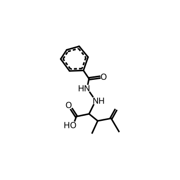 C=C(C)C(C)C(NNC(=O)c1ccccc1)C(=O)O